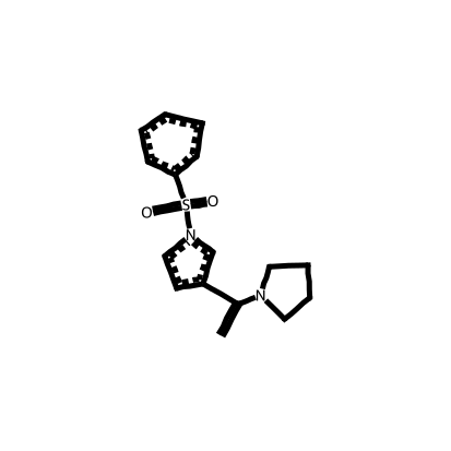 C=C(c1ccn(S(=O)(=O)c2ccccc2)c1)N1CCCC1